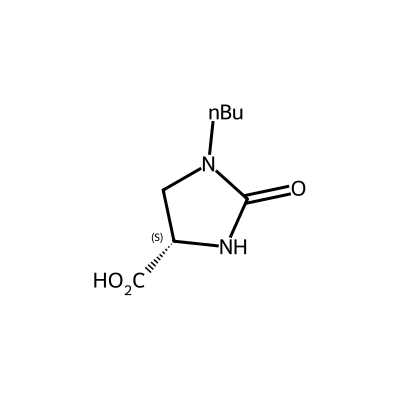 CCCCN1C[C@@H](C(=O)O)NC1=O